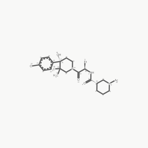 CC[C@@H](NC(=O)[C@H]1CCCN(C(C)=O)C1)C(=O)N1CC[C@](O)(c2ccc(Cl)cc2)C(C)(C)C1